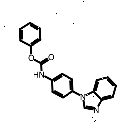 O=C(Nc1ccc(-n2cnc3ccccc32)cc1)Oc1ccccc1